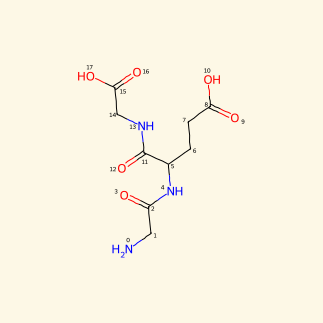 NCC(=O)NC(CCC(=O)O)C(=O)NCC(=O)O